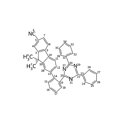 CC1(C)c2cc(C#N)ccc2-c2ccc(-c3ccccc3-c3nc(-c4ccccc4)nc(-c4ccccc4)n3)cc21